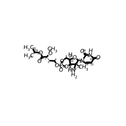 CO[C@H](CCO[P@@]1(=O)OC[C@H]2O[C@@H](n3ccc(=O)[nH]c3=O)[C@](C)(N)[C@@H]2O1)C(=O)OC(C)C